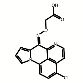 O=C(O)CON=c1c2nccc3c(Cl)ccc(c32)n2cccc12